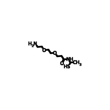 CC(S)NC(=O)CCOCCOCCN